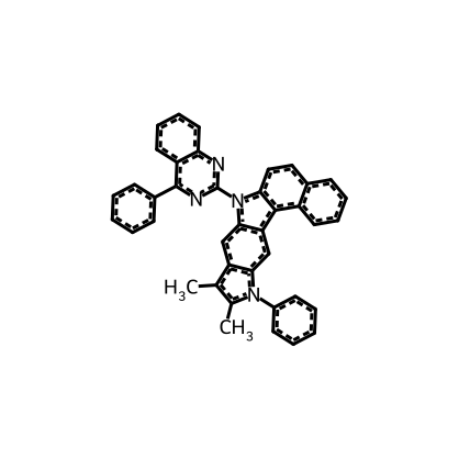 Cc1c(C)n(-c2ccccc2)c2cc3c4c5ccccc5ccc4n(-c4nc(-c5ccccc5)c5ccccc5n4)c3cc12